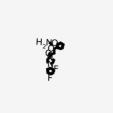 NC(=O)OC(CC(=O)N1CCN(c2ccc(F)cc2F)CC1)c1ccccc1